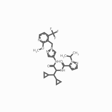 COc1nccc(C(F)(F)F)c1Cn1cc(NC(=O)C(NC(=O)c2ccnn2C(C)C)C(C2CC2)C2CC2)cn1